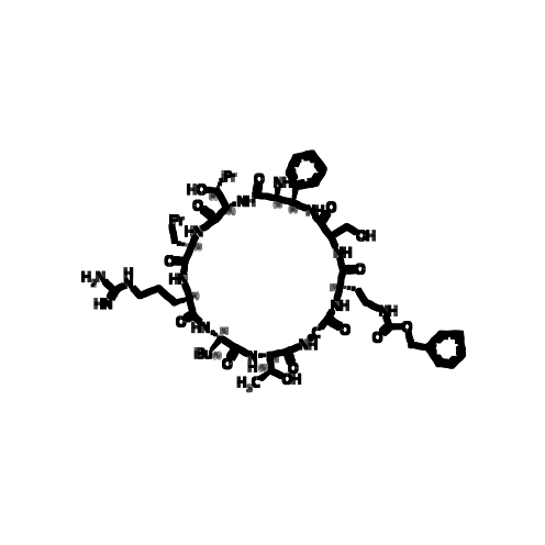 CC[C@H](C)[C@@H]1NC(=O)[C@@H](CCCNC(=N)N)NC(=O)[C@H](CC(C)C)NC(=O)[C@H]([C@H](O)C(C)C)NC(=O)[C@@H](N)[C@@H](c2ccccc2)NC(=O)C(CO)NC(=O)[C@H](CCNC(=O)OCc2ccccc2)NC(=O)CNC(=O)[C@H]([C@H](C)O)NC1=O